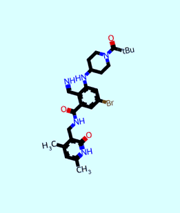 Cc1cc(C)c(CNC(=O)c2cc(Br)cc(NC3CCN(C(=O)C(C)(C)C)CC3)c2C=N)c(=O)[nH]1